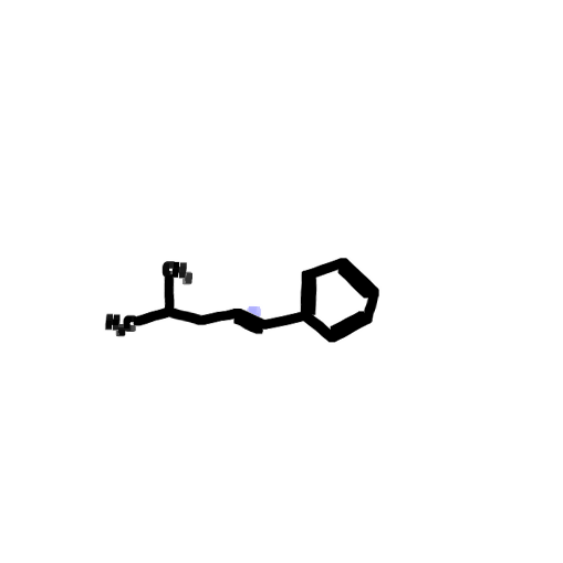 CC(C)C/C=C/c1ccccc1